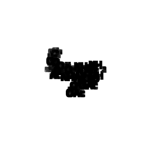 CC(=O)NC1[C@H](O[C@@H]2C(CO[C@@H]3OC(COC(C)=O)[C@@H](C)[C@H](C)C3OC(C)=O)O[C@@H](OC3[C@H](C)OC(C(N)=O)[C@@](C)(O)[C@@H]3OC(N)=O)C(NC(C)=O)[C@H]2C)OC(C)[C@@H](O[C@@H]2OC(C(C)=O)[C@H](C)[C@H](C)C2OC(=O)c2ccccc2)[C@@H]1C